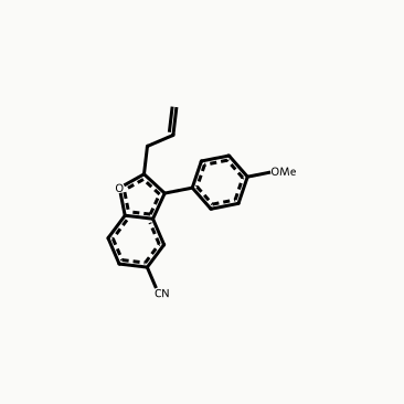 C=CCc1oc2ccc(C#N)cc2c1-c1ccc(OC)cc1